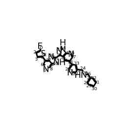 Fc1ccc(-c2cncc3[nH]c(-c4n[nH]c5ncc(-c6cncc(CNCc7ccccc7)c6)cc45)nc23)s1